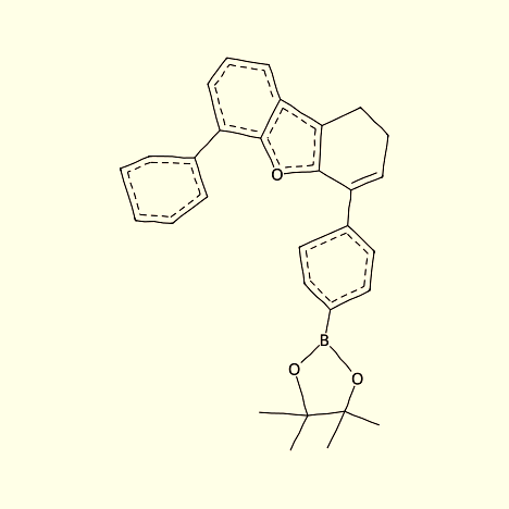 CC1(C)OB(c2ccc(C3=CCCc4c3oc3c(-c5ccccc5)cccc43)cc2)OC1(C)C